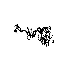 CN1CCN(c2ccc(-c3ccc(C(=O)NCCCN4CCOCC4)cc3)cc2Nc2ncnc(Cl)c2N)CC1